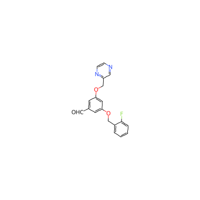 O=Cc1cc(OCc2cnccn2)cc(OCc2ccccc2F)c1